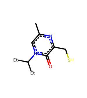 CCC(CC)n1cc(C)nc(CS)c1=O